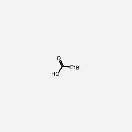 CCC(=O)O.[B]